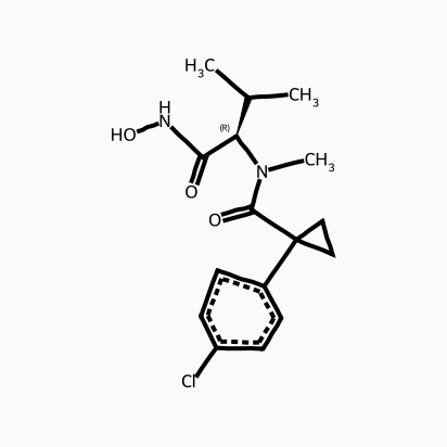 CC(C)[C@H](C(=O)NO)N(C)C(=O)C1(c2ccc(Cl)cc2)CC1